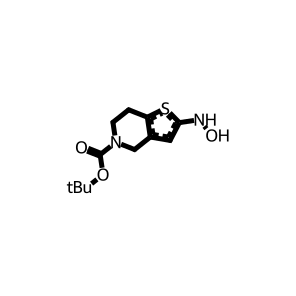 CC(C)(C)OC(=O)N1CCc2sc(NO)cc2C1